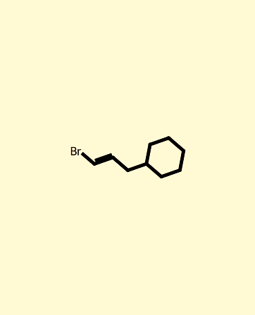 BrC=CCC1CCCCC1